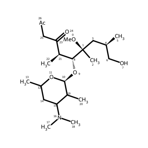 CO[C@](C)(C[C@@H](C)CO)[C@H](O[C@@H]1OC(C)CC(N(C)C)C1C)[C@@H](C)C(=O)CC(C)=O